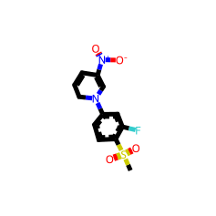 CS(=O)(=O)c1ccc(N2C=C([N+](=O)[O-])C=CC2)cc1F